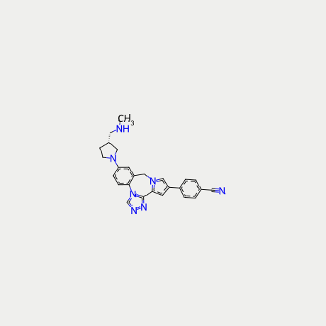 CNC[C@H]1CCN(c2ccc3c(c2)Cn2cc(-c4ccc(C#N)cc4)cc2-c2nncn2-3)C1